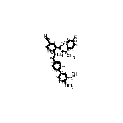 CC(NC(=O)c1cc(C#N)cnc1NCc1ccc(-c2cnc(N)c(CO)c2)cc1)c1ccc(F)cc1